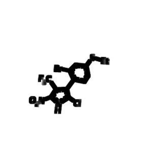 CCSc1ccc(-c2c(Cl)[nH]c([N+](=O)[O-])c2C(F)(F)F)c(Br)c1